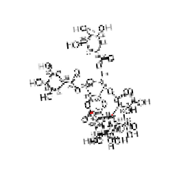 O=C(O)CC1C(=O)OC2C(COC(=O)c3cc(O)c(O)c(O)c3)OC(OC(=O)c3cc(O)c(O)c(O)c3)C(OC(=O)c3cc(O)c(O)c4c3C1C(O)C(=O)O4)C2OC(=O)c1cc(O)c(O)c(CO)c1